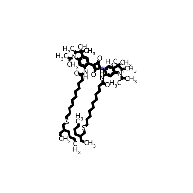 CCCCC(CC)CSCCCCCCCCCCC(=O)Nc1cc2c(cc1C1=C([O-])/C(=c3/cc4c(cc3NC(=O)CCCCCCCCCCSCC(CC)CCCC)=[N+](C(C)C)C(C)C4(C)C)C1=O)C(C)(C)C(C)N2C(C)C